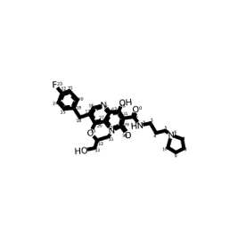 O=C(NCCCN1CCCC1)c1c(O)c2ncc(Cc3ccc(F)cc3)c3c2n(c1=O)CC(CO)O3